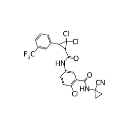 N#CC1(NC(=O)c2cc(NC(=O)C3C(c4cccc(C(F)(F)F)c4)C3(Cl)Cl)ccc2Cl)CC1